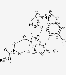 Cc1cc(C(C)OCC2(c3ccc(F)cc3)CCN(C(=O)OC(C)(C)C)CC2)c2c(cnn2C2CC2)c1